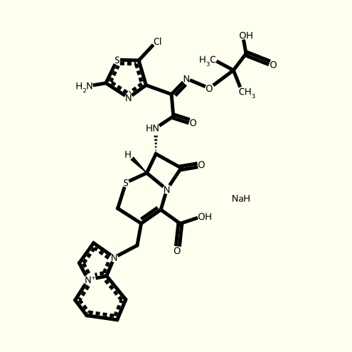 CC(C)(O/N=C(\C(=O)N[C@@H]1C(=O)N2C(C(=O)O)=C(Cn3cc[n+]4ccccc34)CS[C@H]12)c1nc(N)sc1Cl)C(=O)O.[NaH]